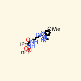 CCCOC(=O)N[C@H](C(=O)NCCCCN/C=N/c1cc(OC)ccc1-n1cnnc1C)C(C)C